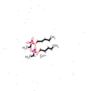 CCCCCOP(=O)([O-])CC.CCCCCOP(=O)([O-])CC.[Co+2]